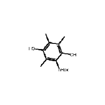 CCCCCCc1c(C)c(O)c(C)c(C)c1O